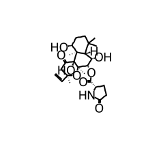 C=C[C@@]1(C)CC(=O)[C@]2(O)[C@@]3(C)[C@@H](O)CCC(C)(C)[C@@H]3[C@H](O)[C@H](OC(=O)[C@@H]3CCC(=O)N3)[C@@]2(C)O1